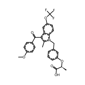 COc1ccc(C(=O)c2c(C)n(Cc3cccc(O[C@@H](C)C(=O)O)c3)c3ccc(OC(F)(F)F)cc23)cc1